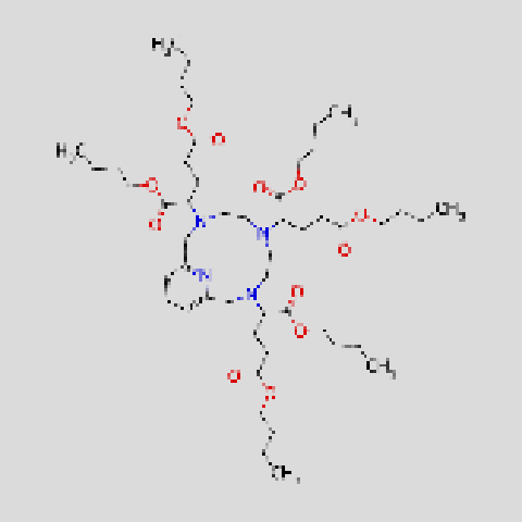 CCCCOC(=O)CCC(C(=O)OCCCC)N1CCN(C(CCC(=O)OCCCC)C(=O)OCCCC)Cc2cccc(n2)CN(C(CCC(=O)OCCCC)C(=O)OCCCC)CC1